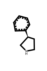 [c]1cccc([C@H]2CCNC2)c1